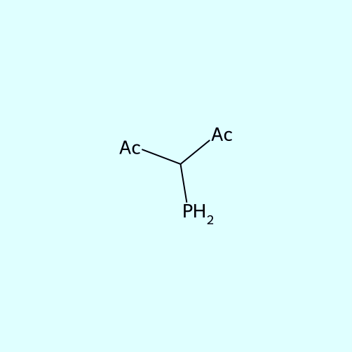 CC(=O)C(P)C(C)=O